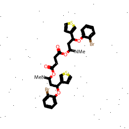 CNC(CC(Oc1ccccc1Br)c1ccsc1)OC(=O)CCC(=O)OC(CC(Oc1ccccc1Br)c1ccsc1)NC